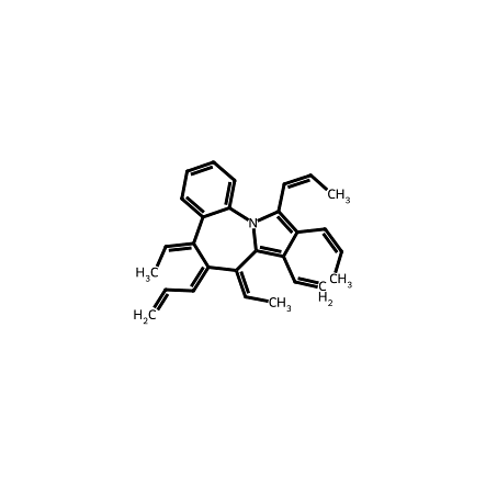 C=C/C=C1C(=C/C)/c2c(C=C)c(/C=C\C)c(/C=C\C)n2-c2ccccc2C/1=C/C